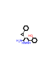 NC1=C([C@@H]2C[C@H]2c2ccccc2)C=C(c2ccccc2O)NN1